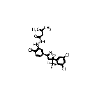 CC(C)CC(=O)NNc1cc(C2=NOC(c3cc(Cl)cc(Cl)c3)(C(F)(F)F)C2)ccc1Cl